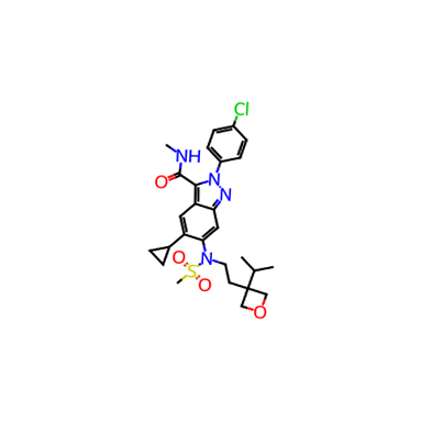 CNC(=O)c1c2cc(C3CC3)c(N(CCC3(C(C)C)COC3)S(C)(=O)=O)cc2nn1-c1ccc(Cl)cc1